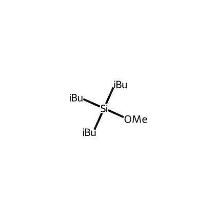 CCC(C)[Si](OC)(C(C)CC)C(C)CC